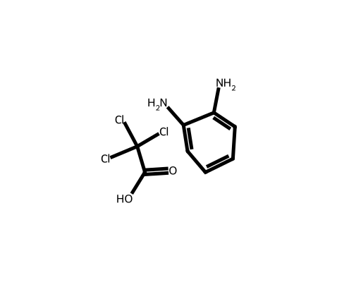 Nc1ccccc1N.O=C(O)C(Cl)(Cl)Cl